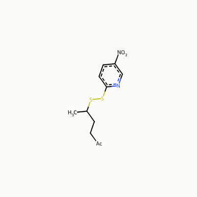 CC(=O)CCC(C)SSc1ccc([N+](=O)[O-])cn1